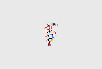 Cc1c(Br)sc2[nH]c(=O)n(C(C)(C)C(=O)O[Si](C)(C)C(C)(C)C)c(=O)c12